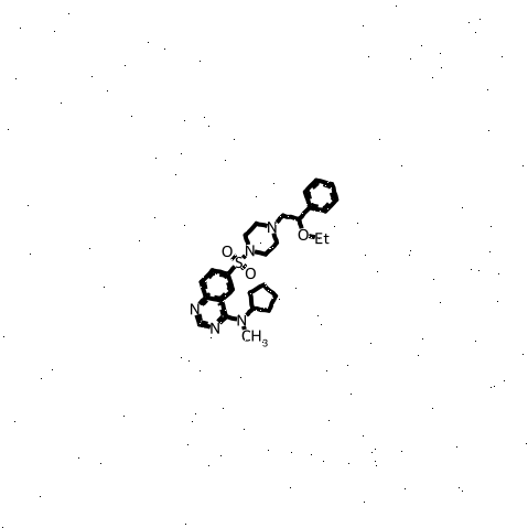 CCOC(CN1CCN(S(=O)(=O)c2ccc3ncnc(N(C)C4CCCC4)c3c2)CC1)c1ccccc1